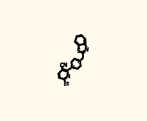 CCc1ccc(C#N)c(N2CCN(Cc3nc4ccccc4s3)CC2)n1